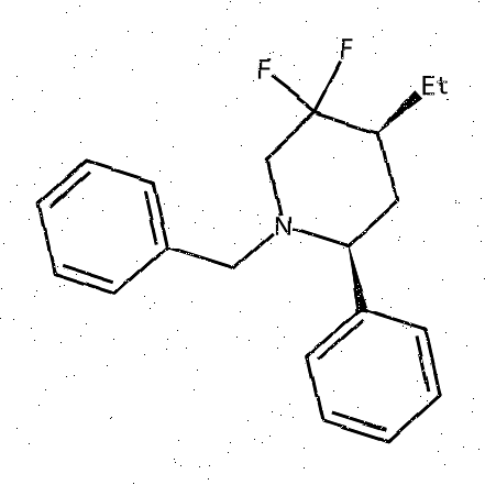 CC[C@H]1C[C@@H](c2ccccc2)N(Cc2ccccc2)CC1(F)F